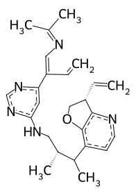 C=C/C(=C\N=C(C)C)c1cc(NC[C@@H](C)C(C)c2ccnc3c2OC[C@@H]3C=C)ncn1